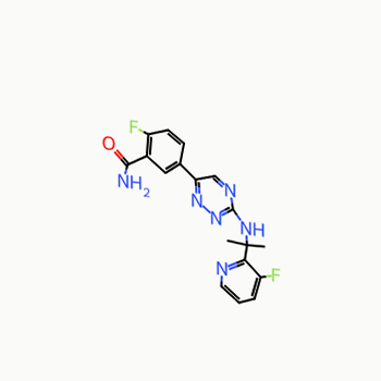 CC(C)(Nc1ncc(-c2ccc(F)c(C(N)=O)c2)nn1)c1ncccc1F